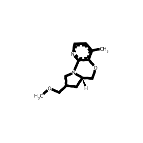 COCC1C[C@H]2COc3c(C)ccnc3N2C1